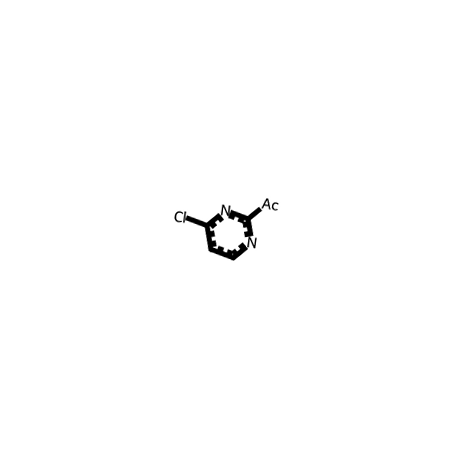 CC(=O)c1nccc(Cl)n1